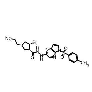 CC[C@@H]1C[C@H](CCC#N)C[C@@H]1C(=O)NNc1cnc2c(ccn2S(=O)(=O)c2ccc(C)cc2)n1